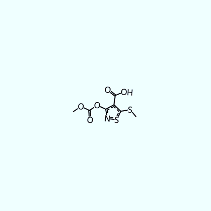 COC(=O)Oc1nsc(SC)c1C(=O)O